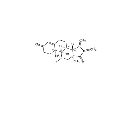 C=C1C(=C)[C@H]2[C@@H]3CCC4=CC(=O)CC[C@]4(C)[C@]3(Br)C(F)C[C@]2(C)C1=O